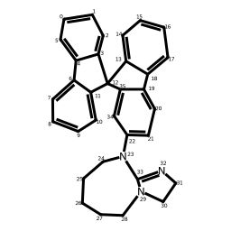 c1ccc2c(c1)-c1ccccc1C21c2ccccc2-c2ccc(N3CCCCCN4CCN=C43)cc21